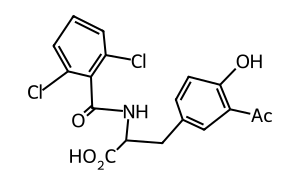 CC(=O)c1cc(CC(NC(=O)c2c(Cl)cccc2Cl)C(=O)O)ccc1O